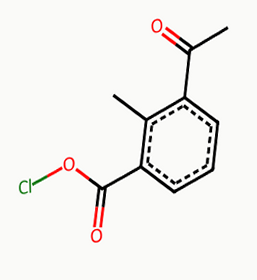 CC(=O)c1cccc(C(=O)OCl)c1C